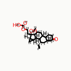 C=C[C@@H]1CC2=CC(=O)CC[C@@H]2[C@H]2CC[C@@]3(CC)[C@@H]([C@H]4C[C@H]4[C@@]3(O)CCOC(=O)O)[C@@H]21